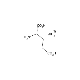 N[C@@H](CCC(=O)O)C(=O)O.[AlH3].[Ti]